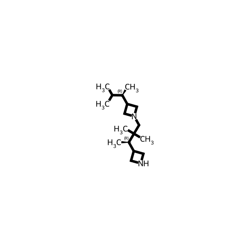 CC(C)[C@@H](C)C1CN(CC(C)(C)[C@H](C)C2CNC2)C1